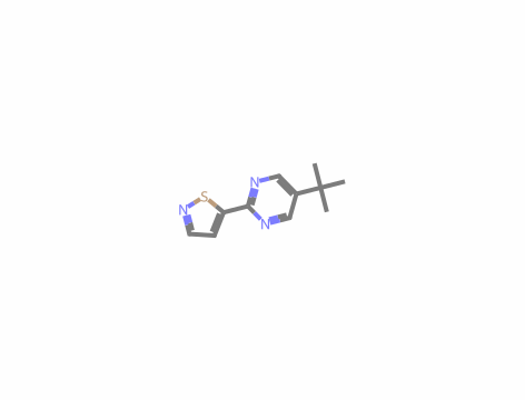 CC(C)(C)c1cnc(-c2ccns2)nc1